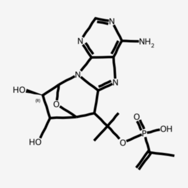 C=C(C)P(=O)(O)OC(C)(C)C1c2nc3c(N)ncnc3n2C2OC1C(O)[C@H]2O